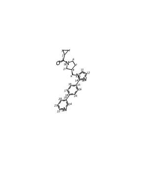 O=C(C1CC1)N1CC[C@@H](Cn2ccnc2-c2ccc(-c3cccnc3)cc2)C1